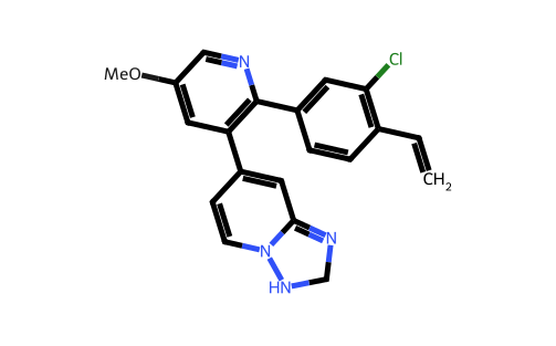 C=Cc1ccc(-c2ncc(OC)cc2C2=CC3=NCNN3C=C2)cc1Cl